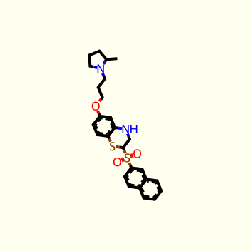 CC1CCCN1CCCOc1ccc2c(c1)NCC(S(=O)(=O)c1ccc3ccccc3c1)S2